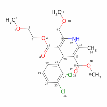 COCCOC(=O)C1=C(COC)NC(C)=C(C(=O)OC)C1c1cccc(Cl)c1Cl